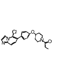 CCC(=O)N1CCC(Oc2ccc(-c3ccc4nccn4c3Cl)cc2)CC1